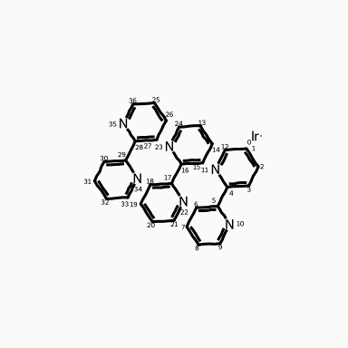 [Ir].c1ccc(-c2ccccn2)nc1.c1ccc(-c2ccccn2)nc1.c1ccc(-c2ccccn2)nc1